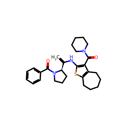 C=C(Nc1sc2c(c1C(=O)N1CCCCC1)CCCCC2)[C@H]1CCCN1C(=O)c1ccccc1